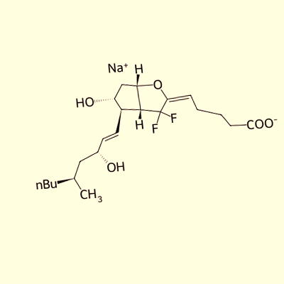 CCCC[C@H](C)C[C@@H](O)C=C[C@@H]1[C@@H]2[C@H](C[C@H]1O)OC(=CCCCC(=O)[O-])C2(F)F.[Na+]